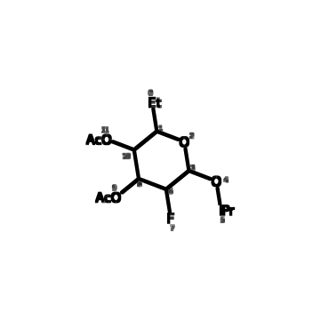 CCC1OC(OC(C)C)C(F)C(OC(C)=O)C1OC(C)=O